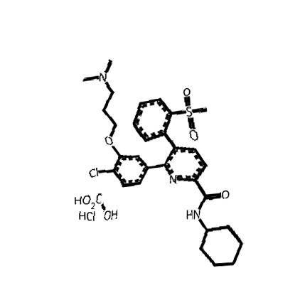 CN(C)CCCOc1cc(-c2nc(C(=O)NC3CCCCC3)ccc2-c2ccccc2S(C)(=O)=O)ccc1Cl.Cl.O=C(O)O